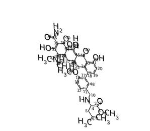 COC(=O)C(CC(C)C)NCc1ccc(OC)c(-c2ccc(O)c3c2C[C@H]2C[C@H]4[C@@H](N(C)C)C(O)=C(C(N)=O)C(=O)[C@@]4(O)C(O)=C2C3=O)c1